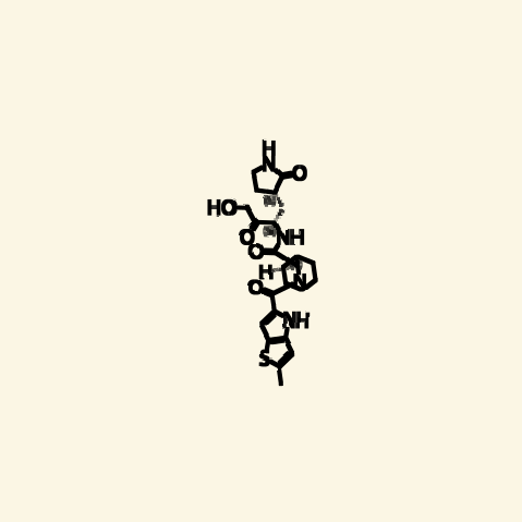 Cc1cc2[nH]c(C(=O)N3C4CCC(CC4)[C@@H]3C(=O)N[C@@H](C[C@@H]3CCNC3=O)C(=O)CO)cc2s1